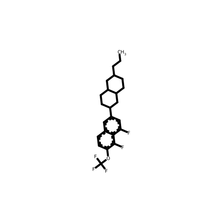 CCCC1CCC2CC(c3cc(F)c4c(F)c(OC(F)(F)F)ccc4c3)CCC2C1